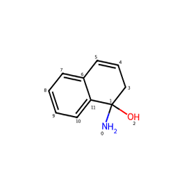 NC1(O)CC=Cc2ccccc21